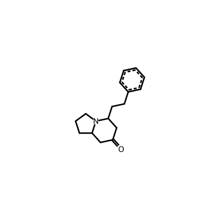 O=C1CC2CCCN2C(CCc2ccccc2)C1